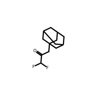 O=C(CC12CC3CC(CC(C3)C1)C2)C(F)F